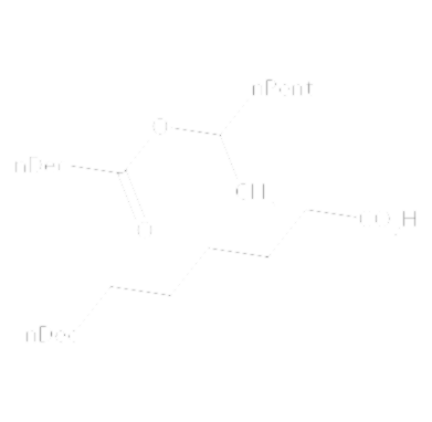 CCCCCCCCCCC(=O)OC(C)CCCCC.CCCCCCCCCCCCCCCC(=O)O